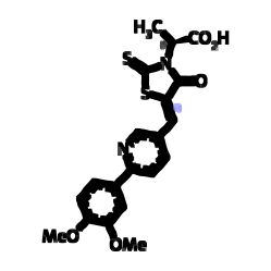 COc1ccc(-c2ccc(/C=C3\SC(=S)N([C@@H](C)C(=O)O)C3=O)cn2)cc1OC